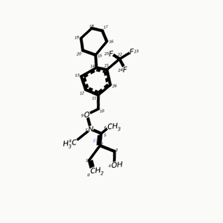 C=C/C(CO)=C(/C)N(C)OCc1ccc(C2CCCCC2)c(C(F)(F)F)c1